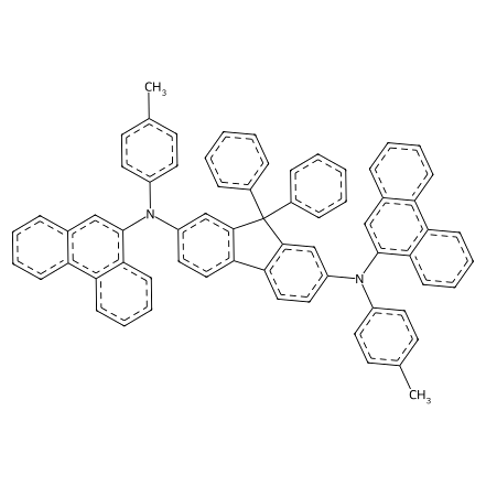 Cc1ccc(N(c2ccc3c(c2)C(c2ccccc2)(c2ccccc2)c2cc(N(c4ccc(C)cc4)c4cc5ccccc5c5ccccc45)ccc2-3)c2cc3ccccc3c3ccccc23)cc1